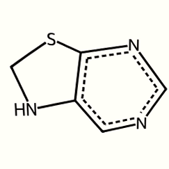 c1ncc2c(n1)SCN2